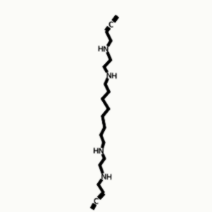 C=C=CCNCCNCCCCCCCCNCCNCC=C=C